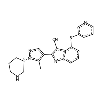 Cc1c(-c2nn3cccc(Sc4cccnc4)c3c2C#N)cnn1[C@H]1CCCNC1